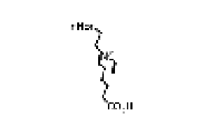 C=CC#N.CCCCCCCCCCCCCCCCCC(=O)O